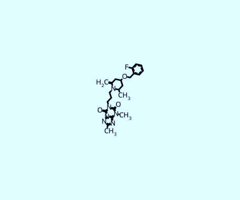 C=C1CC(OCc2ccccc2F)CC(C)N1CCCn1c(=O)n(C)c2nc(C)nn2c1=O